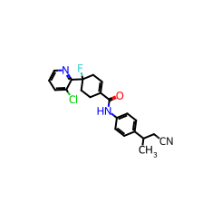 CC(CC#N)c1ccc(NC(=O)C2=CCC(F)(c3ncccc3Cl)CC2)cc1